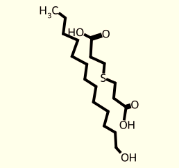 CCCCCCCCCCCCCO.O=C(O)CCSCCC(=O)O